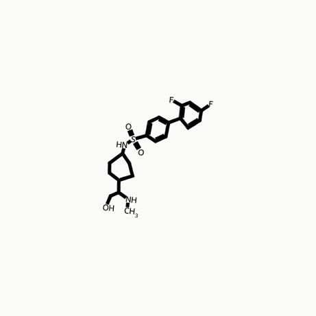 CNC(CO)C1CCC(NS(=O)(=O)c2ccc(-c3ccc(F)cc3F)cc2)CC1